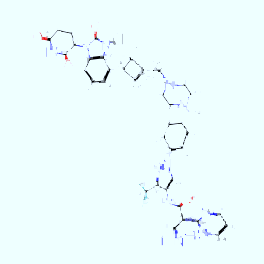 Cn1c(=O)n(C2CCC(=O)NC2=O)c2cccc([C@H]3C[C@H](CN4CCN(C[C@H]5CC[C@H](n6cc(NC(=O)/C(C=N)=C7\N=CC=CN7)c(C(F)F)n6)CC5)CC4)C3)c21